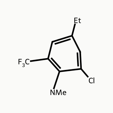 CCc1cc(Cl)c(NC)c(C(F)(F)F)c1